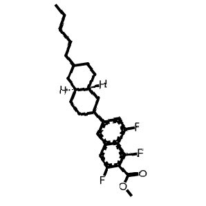 CCCCCC1CC[C@@H]2CC(c3cc(F)c4c(F)c(C(=O)OC)c(F)cc4c3)CC[C@H]2C1